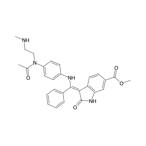 CNCCN(C(C)=O)c1ccc(NC(=C2C(=O)Nc3cc(C(=O)OC)ccc32)c2ccccc2)cc1